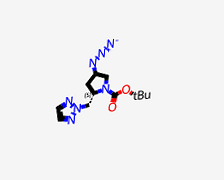 CC(C)(C)OC(=O)N1CC(N=[N+]=[N-])C[C@H]1Cn1nccn1